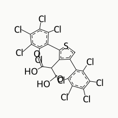 O=C(O)C(C(=O)O)c1c(-c2c(Cl)c(Cl)c(Cl)c(Cl)c2Cl)csc1-c1c(Cl)c(Cl)c(Cl)c(Cl)c1Cl